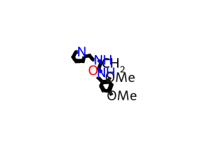 C=C(NCCC1=NCCC=C1)C(=O)NCc1ccc(OC)cc1OC